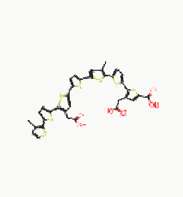 Cc1ccsc1-c1ccc(-c2sc(-c3ccc(-c4cc(C)c(-c5ccc(-c6sc(C(=O)O)cc6CC(=O)O)s5)s4)s3)cc2CC(=O)O)s1